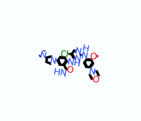 CNC(=O)c1cc(N2CC[C@H](N(C)C)C2)ccc1Nc1nc(Nc2ccc(N3CCOCC3)cc2OC)ncc1Cl